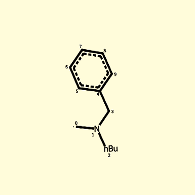 [CH2]N(CCCC)Cc1ccccc1